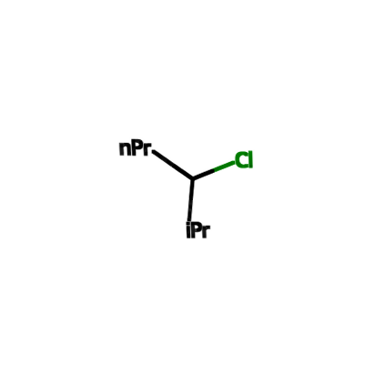 CCCC(Cl)C(C)C